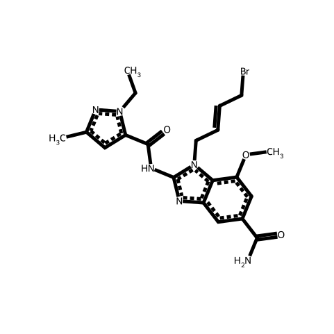 CCn1nc(C)cc1C(=O)Nc1nc2cc(C(N)=O)cc(OC)c2n1CC=CCBr